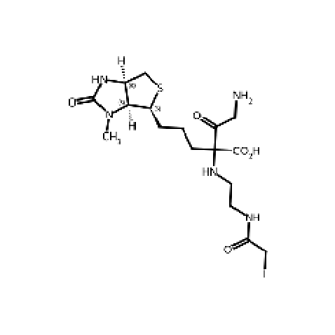 CN1C(=O)N[C@H]2CS[C@@H](CCCC(NCCNC(=O)CI)(C(=O)O)C(=O)CN)[C@H]21